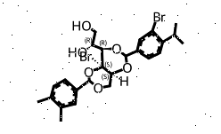 Cc1ccc(C2OC[C@@H]3OC(c4ccc(C(C)C)c(Br)c4)O[C@H]([C@H](O)CO)[C@]3(Br)O2)cc1C